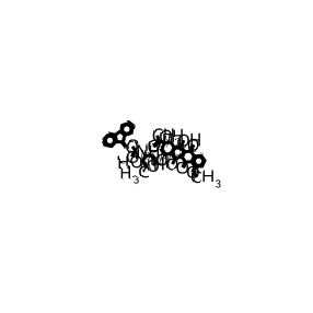 [CH2]C(=O)[C@]1(O)Cc2c(O)c3c(c(O)c2[C@@H](O[C@H]2C[C@H](NC(=O)OCC4c5ccccc5-c5ccccc54)[C@H](O)[C@H](C)O2)C1)C(=O)c1c(OC)cccc1C3=O